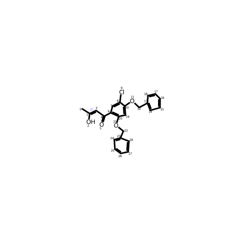 C/C(O)=C/C(=O)c1cc(Cl)c(OCc2ccccc2)cc1OCc1ccccc1